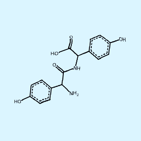 NC(C(=O)NC(C(=O)O)c1ccc(O)cc1)c1ccc(O)cc1